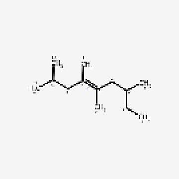 [CH2]CC(C)C/C(C)=C(\C)CC([CH2])C